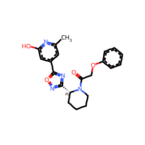 Cc1cc(-c2nc([C@H]3CCCCN3C(=O)COc3ccccc3)no2)cc(O)n1